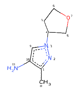 Cc1nn(C2CCOC2)cc1N